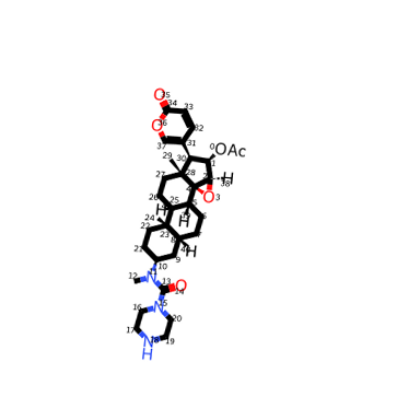 CC(=O)O[C@H]1[C@H]2O[C@]23[C@@H]2CC[C@@H]4C[C@@H](N(C)C(=O)N5CCNCC5)CC[C@]4(C)[C@H]2CC[C@]3(C)[C@H]1c1ccc(=O)oc1